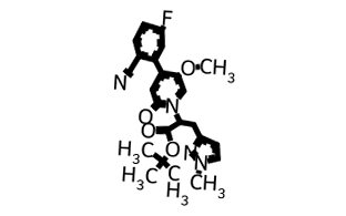 COc1cn(C(Cc2ccn(C)n2)C(=O)OC(C)(C)C)c(=O)cc1-c1cc(F)ccc1C#N